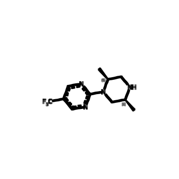 C[C@H]1CN(c2ncc(C(F)(F)F)cn2)[C@@H](C)CN1